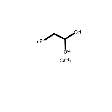 CCCCC(O)O.[CaH2]